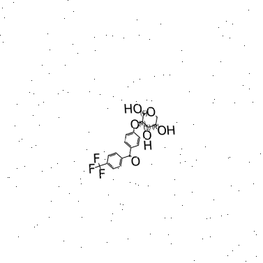 O=C(c1ccc(O[C@@H]2[C@@H](O)[C@H](O)CO[C@@H]2O)cc1)c1ccc(C(F)(F)F)cc1